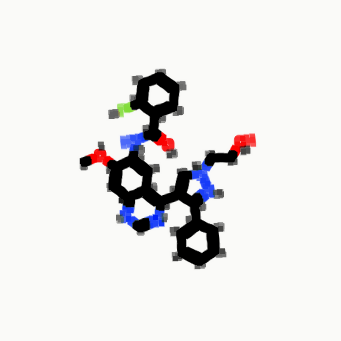 COc1cc2ncnc(-c3cn(CCO)nc3-c3ccccc3)c2cc1NC(=O)c1ccccc1F